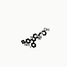 NC1(c2ccc(-c3nc4ccn5c(CN6CCCC(O)C6)nnc5c4cc3-c3ccccc3)cc2)CCC1